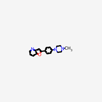 CN1CCN(c2ccc(-c3cc4ncccc4o3)cc2)CC1